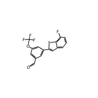 O=Cc1cc(OC(F)(F)F)cc(-c2cc3cccc(F)c3s2)c1